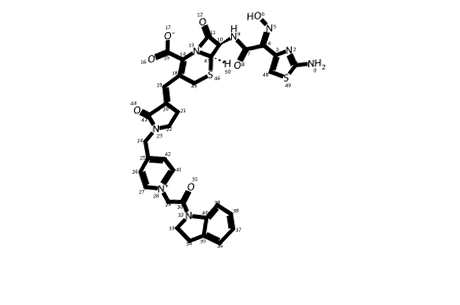 Nc1nc(/C(=N/O)C(=O)N[C@@H]2C(=O)N3C(C(=O)[O-])=C(/C=C4\CCN(Cc5cc[n+](CC(=O)N6CCc7ccccc76)cc5)C4=O)CS[C@H]23)cs1